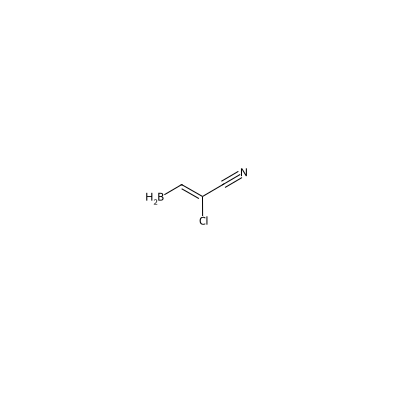 B/C=C(\Cl)C#N